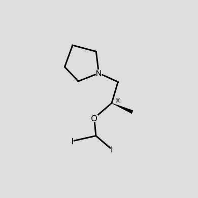 C[C@H](CN1CCCC1)OC(I)I